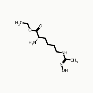 CCOC(=O)[C@@H](N)CCCCNC(C)=NO